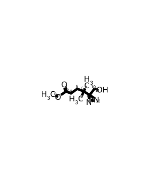 COC(=O)CCC(C)(C)C1(CO)N=N1